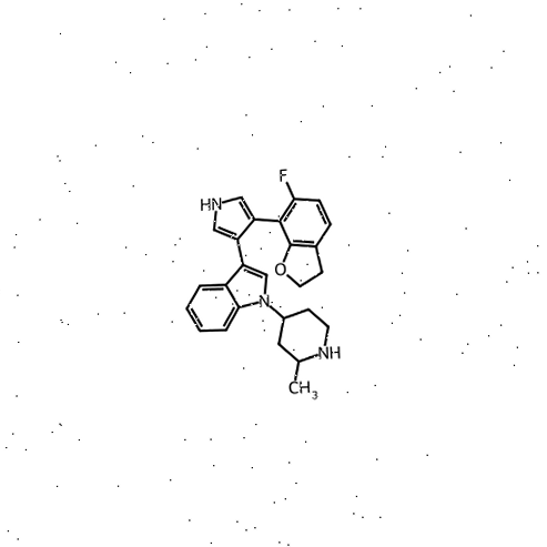 CC1CC(n2cc(-c3c[nH]cc3-c3c(F)ccc4c3OCC4)c3ccccc32)CCN1